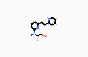 C[C@@H](CO)N(C)c1cccc(/C=C/c2ccccn2)n1